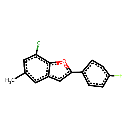 Cc1cc(Cl)c2oc(-c3ccc(F)cc3)cc2c1